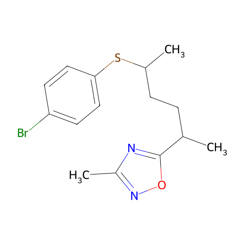 Cc1noc(C(C)CCC(C)Sc2ccc(Br)cc2)n1